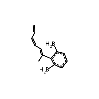 Bc1cccc(B)c1/C(C)=C/C=C\C=C